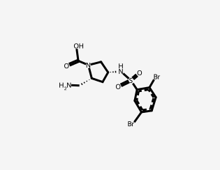 NC[C@H]1C[C@@H](NS(=O)(=O)c2cc(Br)ccc2Br)CN1C(=O)O